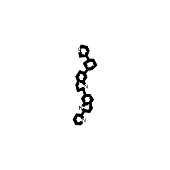 c1ccc(-c2ccc3ccc(-c4ccc5ccc(-c6cccc(-c7cccnc7)c6)cc5n4)cc3n2)nc1